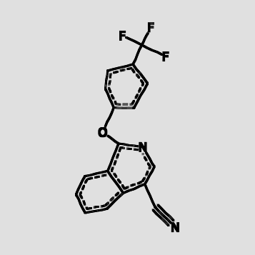 N#Cc1cnc(Oc2ccc(C(F)(F)F)cc2)c2ccccc12